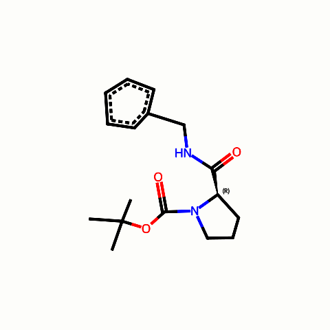 CC(C)(C)OC(=O)N1CCC[C@@H]1C(=O)NCc1ccccc1